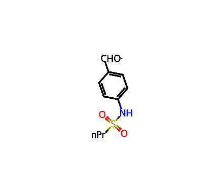 CCCS(=O)(=O)Nc1ccc([C]=O)cc1